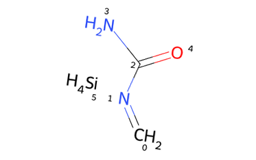 C=NC(N)=O.[SiH4]